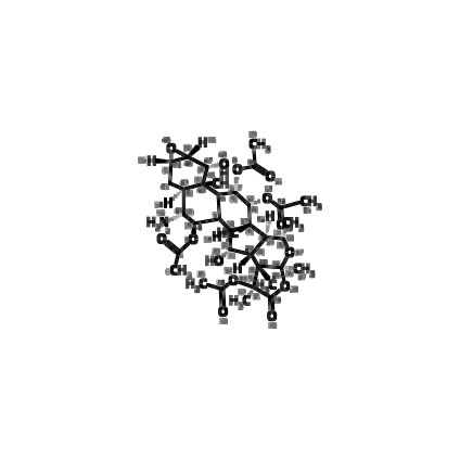 CC(=O)O[C@@H]1C2C([C@H](OC(C)=O)[C@H](OC(C)=O)[C@]3(C)[C@@H]4[C@@H]([C@H](O)[C@@H]23)[C@]2(C)[C@](C)(OC(=O)[C@@]2(C)OC(C)=O)O[C@H]4C)[C@]2(C)[C@H](C[C@@H]3O[C@@H]3[C@@H]2O)[C@H]1N